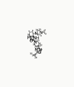 CC(C)N1CCN([C@H]2CCCC(F)(F)[C@@H]2NC(=O)N2CCC(C)(c3noc([C@@H]4C[C@@H]4C)n3)CC2)CC1